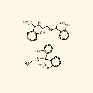 NCCNC(C(=O)O)(c1ccccc1O)c1ccccc1O.O=C(O)C(NCCNC(C(=O)O)c1ccccc1O)c1ccccc1O